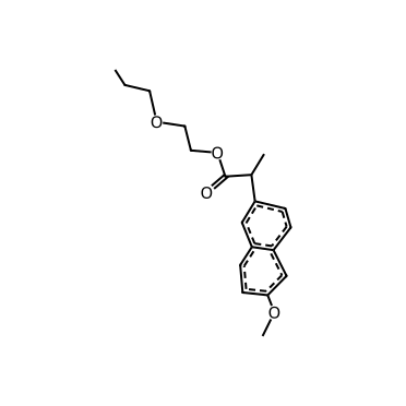 CCCOCCOC(=O)C(C)c1ccc2cc(OC)ccc2c1